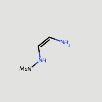 CNN/C=C\N